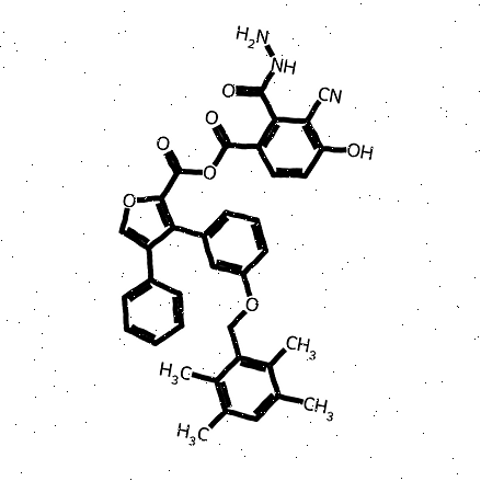 Cc1cc(C)c(C)c(COc2cccc(-c3c(-c4ccccc4)coc3C(=O)OC(=O)c3ccc(O)c(C#N)c3C(=O)NN)c2)c1C